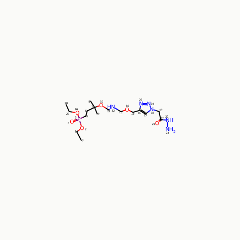 CCOP(=O)(CCC(C)(C)OCNCOCc1cn(CC(=O)NN)nn1)OCC